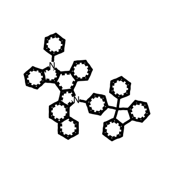 c1ccc(-n2c3ccccc3c3c4c5ccc6ccccc6c5n(-c5ccc(C6(c7ccccc7)c7ccccc7-c7ccccc76)cc5)c4c4ccccc4c32)cc1